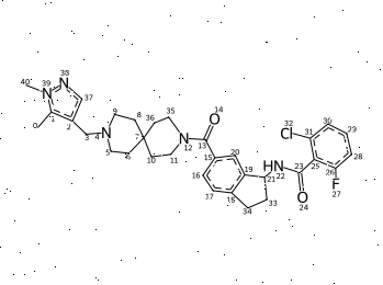 Cc1c(CN2CCC3(CC2)CCN(C(=O)c2ccc4c(c2)C(NC(=O)c2c(F)cccc2Cl)CC4)CC3)cnn1C